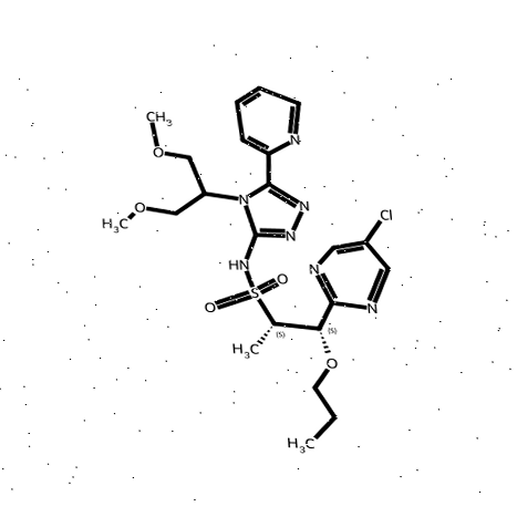 CCCO[C@@H](c1ncc(Cl)cn1)[C@H](C)S(=O)(=O)Nc1nnc(-c2ccccn2)n1C(COC)COC